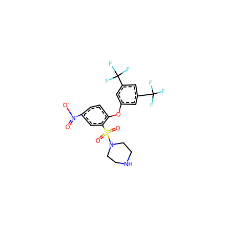 O=[N+]([O-])c1ccc(Oc2cc(C(F)(F)F)cc(C(F)(F)F)c2)c(S(=O)(=O)N2CCNCC2)c1